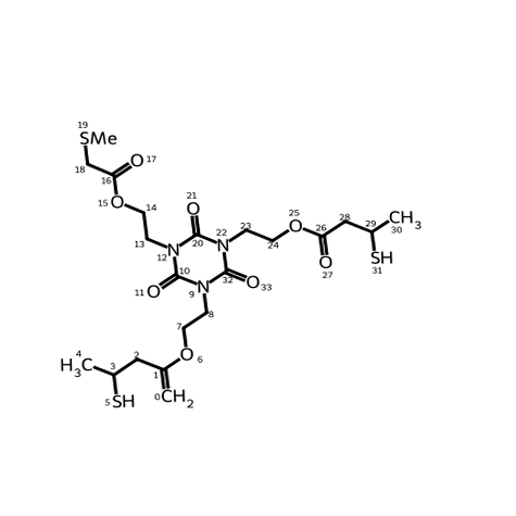 C=C(CC(C)S)OCCn1c(=O)n(CCOC(=O)CSC)c(=O)n(CCOC(=O)CC(C)S)c1=O